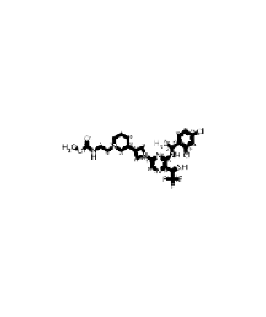 COC(=O)NCCN1CCCC(C2CN(c3cnc(C(=N)C(F)(F)F)c(NC(C)c4ccc(Cl)cc4Cl)n3)C2)C1